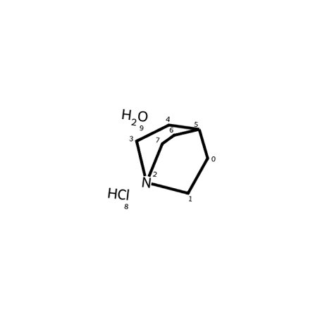 C1CN2CCC1CC2.Cl.O